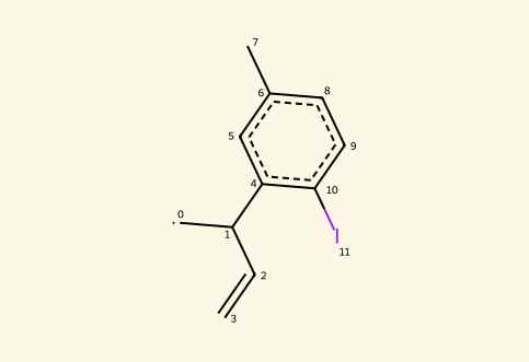 [CH2]C(C=C)c1cc(C)ccc1I